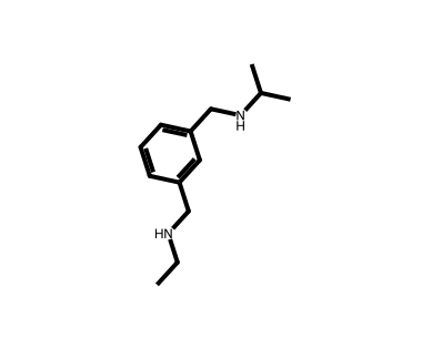 CCNCc1cccc(CNC(C)C)c1